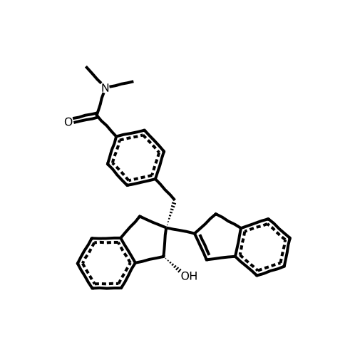 CN(C)C(=O)c1ccc(C[C@@]2(C3=Cc4ccccc4C3)Cc3ccccc3[C@H]2O)cc1